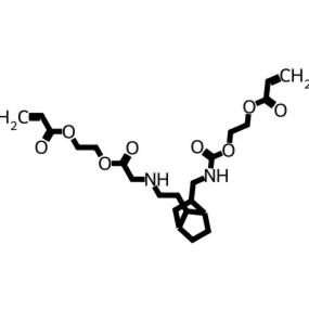 C=CC(=O)OCCOC(=O)CNCCC1C2CCC1C(CNC(=O)OCCOC(=O)C=C)C2